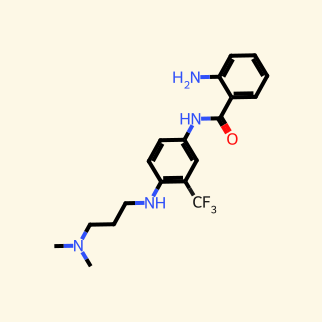 CN(C)CCCNc1ccc(NC(=O)c2ccccc2N)cc1C(F)(F)F